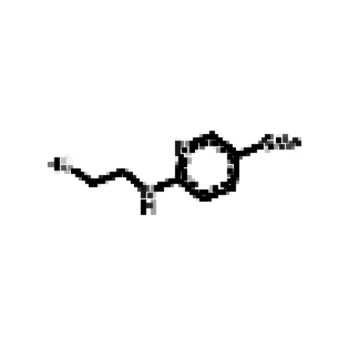 CSc1ccc(NCCO)nc1